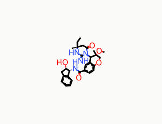 CC[C@]1(C)CC(=O)N(C2c3cc(C(=O)N[C@@H]4c5ccccc5C[C@H]4O)ccc3OCC2(C)OC)C(=N)N1